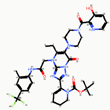 CCc1c(N2CCN(C(=O)c3ncccc3O)CC2)c(=O)n2nc(C3=CCCCN3C(=O)OC(C)(C)C)nc2n1CC(=O)Nc1ccc(C(F)(F)F)cc1C